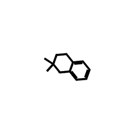 CC1(C)[C]c2ccccc2CC1